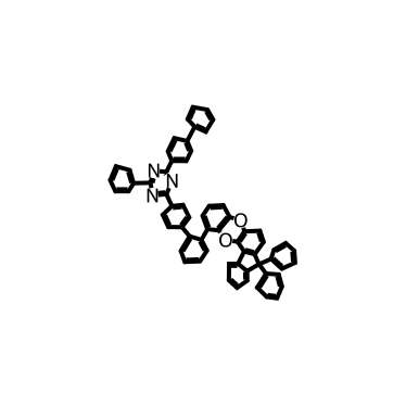 c1ccc(-c2ccc(-c3nc(-c4ccccc4)nc(-c4ccc(-c5ccccc5-c5cccc6c5Oc5c(ccc7c5-c5ccccc5C7(c5ccccc5)c5ccccc5)O6)cc4)n3)cc2)cc1